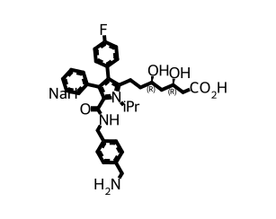 CC(C)n1c(CC[C@@H](O)C[C@@H](O)CC(=O)O)c(-c2ccc(F)cc2)c(-c2ccccc2)c1C(=O)NCc1ccc(CN)cc1.[NaH]